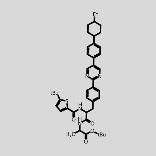 CCC1CCC(c2ccc(-c3cnc(-c4ccc(CC(NC(=O)c5ccc(C(C)(C)C)s5)C(=O)NC(C)C(=O)OC(C)(C)C)cc4)nc3)cc2)CC1